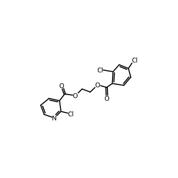 O=C(OCCOC(=O)c1cccnc1Cl)c1ccc(Cl)cc1Cl